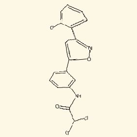 O=C(Nc1cccc(-c2cc(-c3ccccc3Cl)no2)c1)C(Cl)Cl